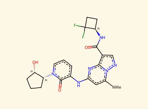 CNc1cc(Nc2cccn([C@@H]3CCC[C@@H]3O)c2=O)nc2c(C(=O)N[C@@H]3CCC3(F)F)cnn12